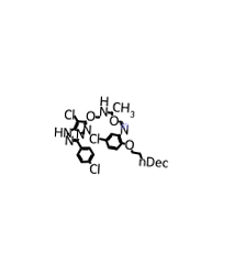 CCCCCCCCCCCCOc1ccc(Cl)cc1/N=C\OC(C)NCOc1nn2c(-c3ccc(Cl)cc3)n[nH]c2c1Cl